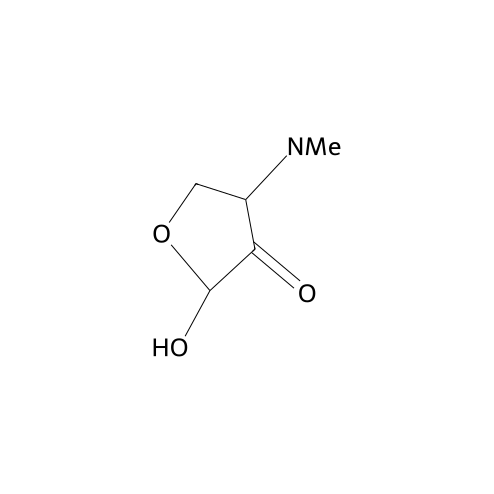 CNC1COC(O)C1=O